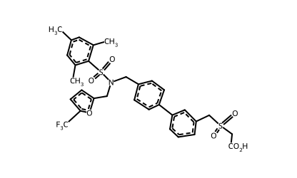 Cc1cc(C)c(S(=O)(=O)N(Cc2ccc(-c3cccc(CS(=O)(=O)CC(=O)O)c3)cc2)Cc2ccc(C(F)(F)F)o2)c(C)c1